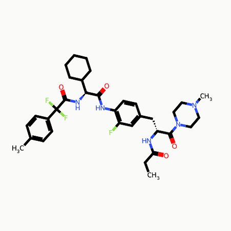 CCC(=O)N[C@H](Cc1ccc(NC(=O)[C@@H](NC(=O)C(F)(F)c2ccc(C)cc2)C2CCCCC2)c(F)c1)C(=O)N1CCN(C)CC1